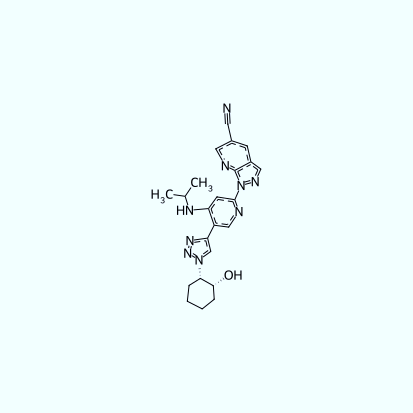 CC(C)Nc1cc(-n2ncc3cc(C#N)cnc32)ncc1-c1cn([C@H]2CCCC[C@H]2O)nn1